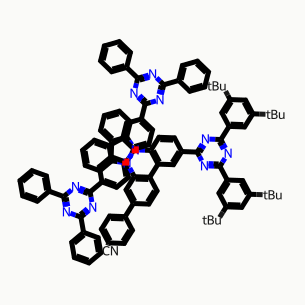 CC(C)(C)c1cc(-c2nc(-c3cc(C(C)(C)C)cc(C(C)(C)C)c3)nc(-c3ccc(-n4c5ccccc5c5cc(-c6nc(-c7ccccc7)nc(-c7ccccc7)n6)ccc54)c(-c4ccc(-c5ccc(C#N)cc5)cc4-n4c5ccccc5c5cc(-c6nc(-c7ccccc7)nc(-c7ccccc7)n6)ccc54)c3)n2)cc(C(C)(C)C)c1